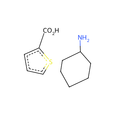 NC1CCCCC1.O=C(O)c1cccs1